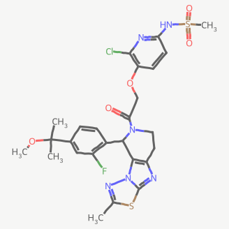 COC(C)(C)c1ccc(C2c3c(nc4sc(C)nn34)CCN2C(=O)COc2ccc(NS(C)(=O)=O)nc2Cl)c(F)c1